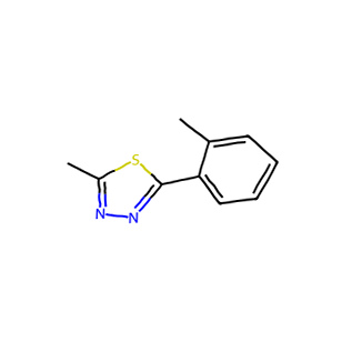 Cc1nnc(-c2ccccc2C)s1